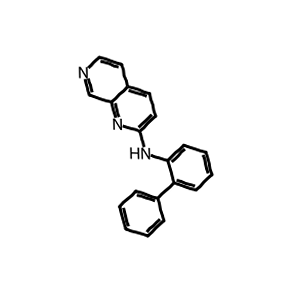 c1ccc(-c2ccccc2Nc2ccc3ccncc3n2)cc1